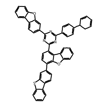 C1=CCC(c2ccc(-c3nc(-c4ccc5c(c4)oc4ccccc45)nc(-c4ccc(-c5ccc6c(c5)sc5ccccc56)c5oc6ccccc6c45)n3)cc2)C=C1